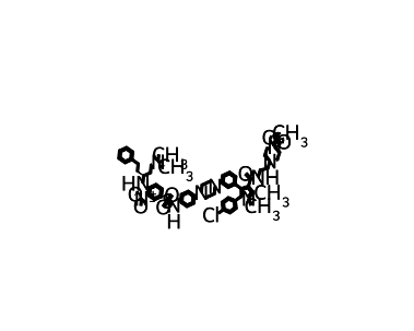 Cc1c(C(=O)NCCN2CCN(S(C)(=O)=O)CC2)c(-c2cccc(N3CCN(c4ccc(NS(=O)(=O)c5ccc(N[C@@H](CCc6ccccc6)CCN(C)C)c([N+](=O)[O-])c5)cc4)CC3)c2)c(-c2ccc(Cl)cc2)n1C